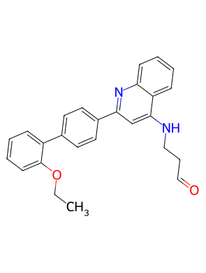 CCOc1ccccc1-c1ccc(-c2cc(NCCC=O)c3ccccc3n2)cc1